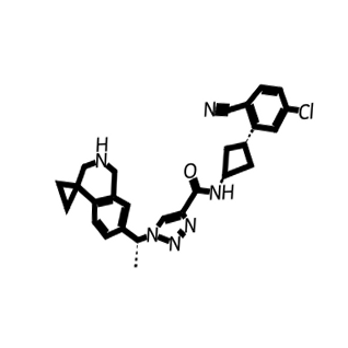 C[C@H](c1ccc2c(c1)CNCC21CC1)n1cc(C(=O)N[C@H]2C[C@@H](c3cc(Cl)ccc3C#N)C2)nn1